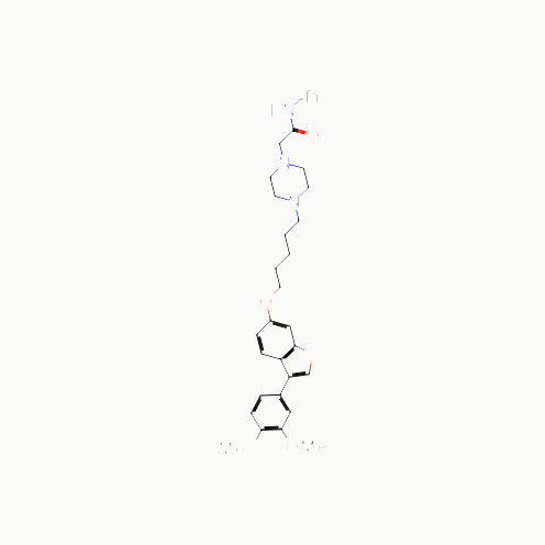 COc1ccc(-c2coc3cc(OCCCCCN4CCN(CC(=O)NC(C)C)CC4)ccc23)cc1OC